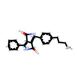 CCCCc1ccc(C2=C3C(=O)NC(c4ccccc4)=C3C(=O)N2)cc1